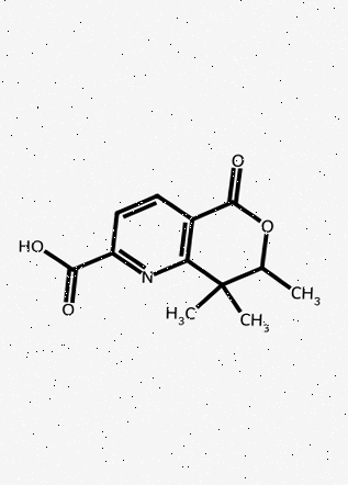 CC1OC(=O)c2ccc(C(=O)O)nc2C1(C)C